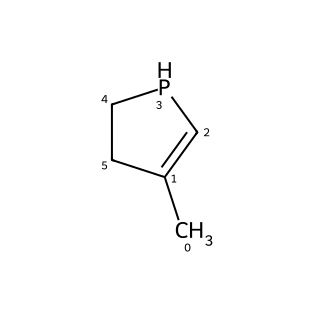 CC1=CPCC1